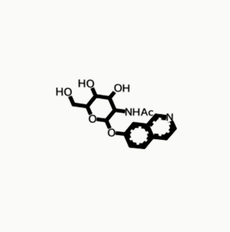 CC(=O)NC1C(Oc2ccc3ccncc3c2)OC(CO)C(O)C1O